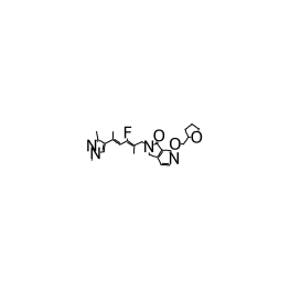 C/C(CN1Cc2ccnc(OCC3CCCO3)c2C1=O)=C(F)\C=C(/C)c1cn(C)nc1C